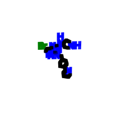 Brc1cnn2c(NCc3ccc(-c4ccccn4)cc3)nc(NC3CCNCC3)nc12